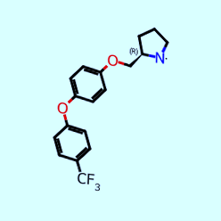 FC(F)(F)c1ccc(Oc2ccc(OC[C@H]3CCC[N]3)cc2)cc1